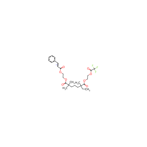 CCC(C)(CCCC(C)(C)C(=O)OCCOC(=O)/C=C/c1ccccc1)C(=O)OCCOC(=O)C(F)(F)F